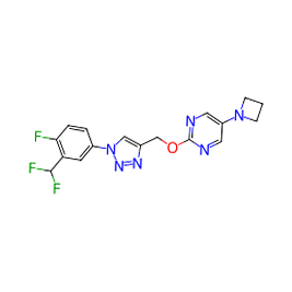 Fc1ccc(-n2cc(COc3ncc(N4CCC4)cn3)nn2)cc1C(F)F